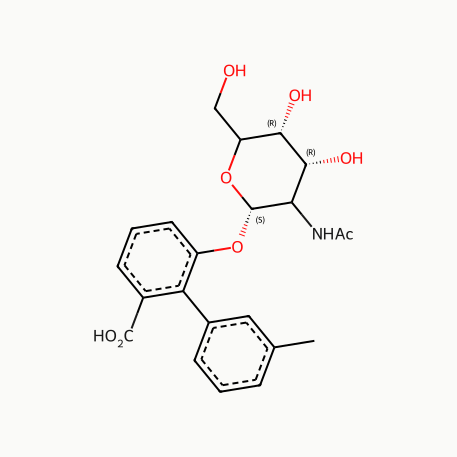 CC(=O)NC1[C@H](Oc2cccc(C(=O)O)c2-c2cccc(C)c2)OC(CO)[C@H](O)[C@@H]1O